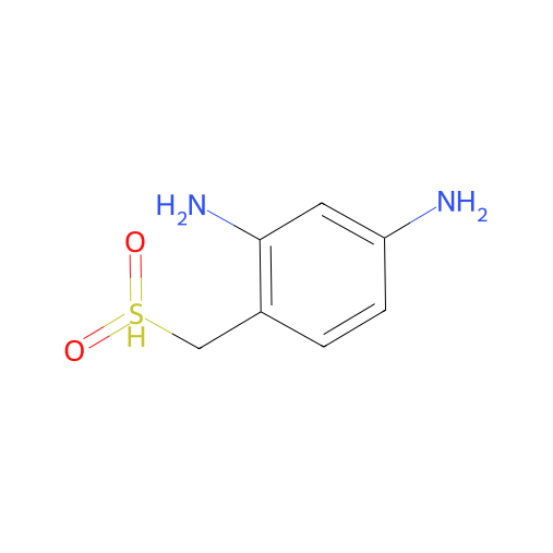 Nc1ccc(C[SH](=O)=O)c(N)c1